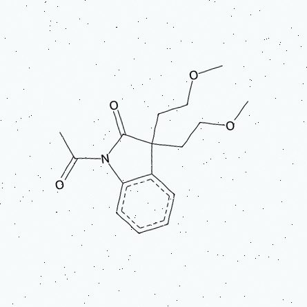 COCCC1(CCOC)C(=O)N(C(C)=O)c2ccccc21